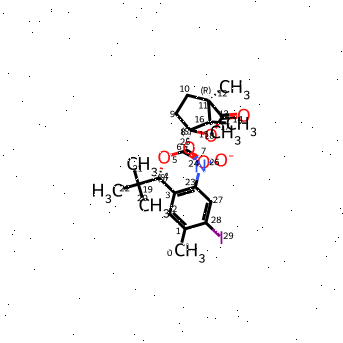 Cc1cc([C@@H](OC(=O)[C@@]23CC[C@@](C)(C(=O)O2)C3(C)C)C(C)(C)C)c([N+](=O)[O-])cc1I